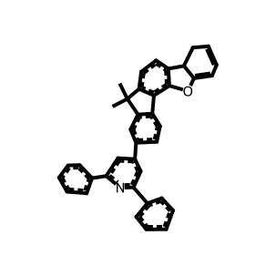 CC1(C)c2cc(-c3cc(-c4ccccc4)nc(-c4ccccc4)c3)ccc2-c2c1ccc1c2OC2=CC=CCC21